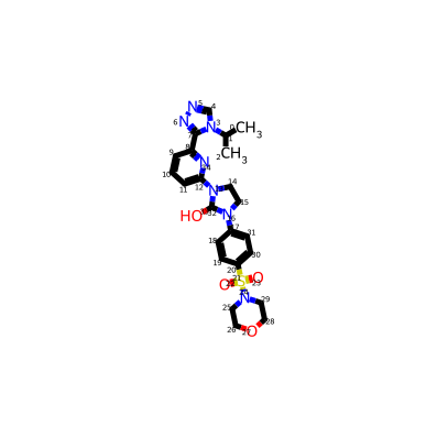 CC(C)n1cnnc1-c1cccc(N2CCN(c3ccc(S(=O)(=O)N4CCOCC4)cc3)C2O)n1